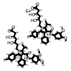 COc1ccc(NC(=O)c2c(-c3ccccc3)c(-c3ccc(F)cc3)n(CC[C@@H](O)C[C@@H](O)CC(=O)[O-])c2C(C)C)cc1OC.COc1ccc(NC(=O)c2c(-c3ccccc3)c(-c3ccc(F)cc3)n(CC[C@@H](O)C[C@@H](O)CC(=O)[O-])c2C(C)C)cc1OC.[Ca+2]